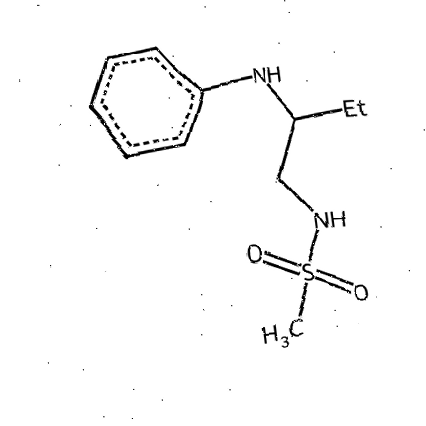 CCC(CNS(C)(=O)=O)Nc1ccccc1